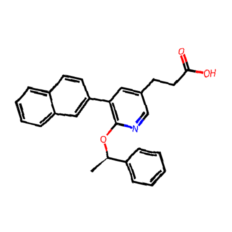 C[C@@H](Oc1ncc(CCC(=O)O)cc1-c1ccc2ccccc2c1)c1ccccc1